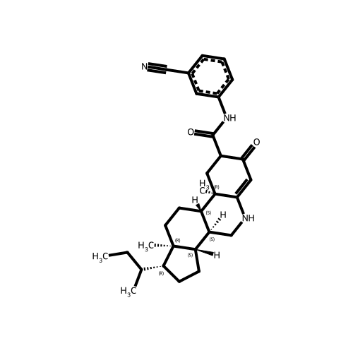 CCC(C)[C@H]1CC[C@H]2[C@@H]3CNC4=CC(=O)C(C(=O)Nc5cccc(C#N)c5)C[C@]4(C)[C@H]3CC[C@]12C